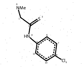 CNCC(=S)Nc1ccc(Cl)cc1